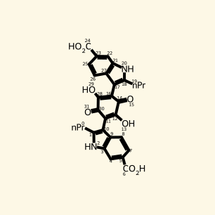 CCCc1[nH]c2cc(C(=O)O)ccc2c1C1=C(O)C(=O)C(c2c(CCC)[nH]c3cc(C(=O)O)ccc23)=C(O)C1=O